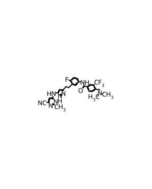 Cc1nc(C#N)cc(Nc2cc(CCc3cc(NC(=O)c4ccc(CN(C)C)c(C(F)(F)F)c4)ccc3F)n[nH]2)n1